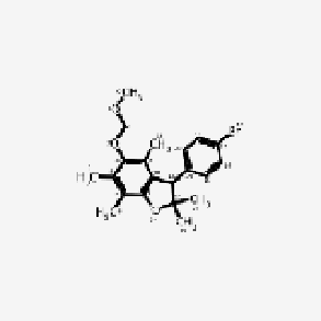 COCOc1c(C)c(C)c2c(c1C)C(c1ccc(Br)cc1)C(C)(C)O2